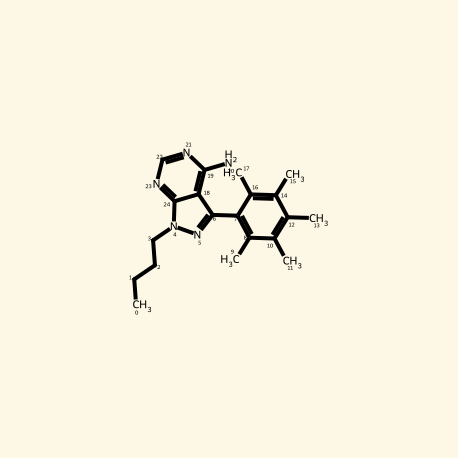 CCCCn1nc(-c2c(C)c(C)c(C)c(C)c2C)c2c(N)ncnc21